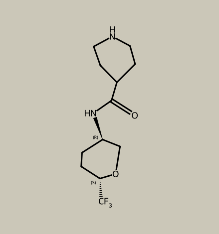 O=C(N[C@@H]1CC[C@@H](C(F)(F)F)OC1)C1CCNCC1